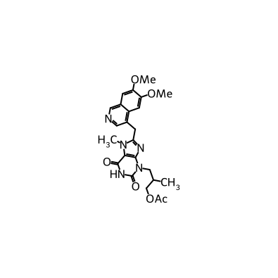 COc1cc2cncc(Cc3nc4c(c(=O)[nH]c(=O)n4CC(C)COC(C)=O)n3C)c2cc1OC